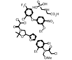 CC1(C)OC(c2ccco2)CN1C(=O)C(Cl)Cl.CCOc1cc(Oc2ccc(C(F)(F)F)cc2Cl)ccc1[N+](=O)[O-].CCc1cccc(CC)c1N(COC)C(=O)CCl.O=C(O)CNCP(=O)(O)O